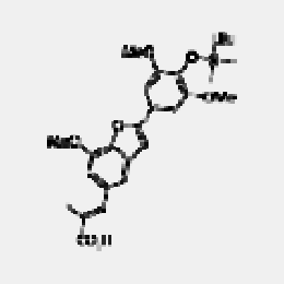 COc1cc(-c2cc3cc(/C=C(\C)C(=O)O)cc(OC)c3o2)cc(OC)c1O[Si](C)(C)C(C)(C)C